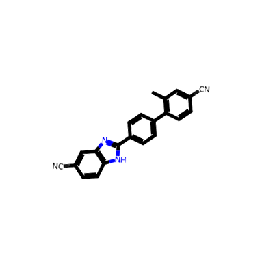 Cc1cc(C#N)ccc1-c1ccc(-c2nc3cc(C#N)ccc3[nH]2)cc1